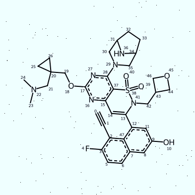 C#Cc1c(F)ccc2cc(O)cc(C3=Cc4nc(OCC5(CN(C)C)CC5)nc(N5CC6CCC(C5)N6)c4S(=O)(=O)N3CC3COC3)c12